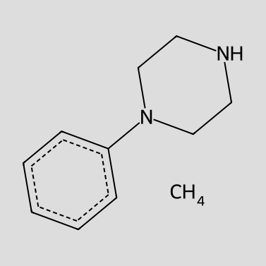 C.c1ccc(N2CCNCC2)cc1